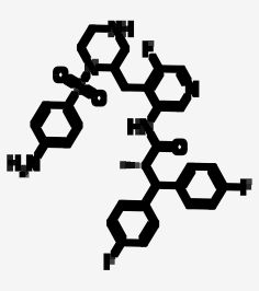 C[C@H](C(=O)Nc1cncc(F)c1CC1CNCCN1S(=O)(=O)c1ccc(N)cc1)C(c1ccc(F)cc1)c1ccc(F)cc1